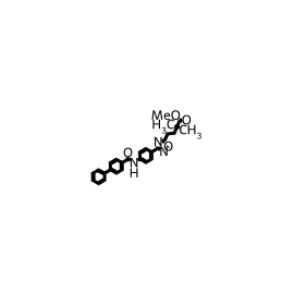 COC(=O)C(C)(C)CCc1nc(-c2ccc(NC(=O)c3ccc(-c4ccccc4)cc3)cc2)no1